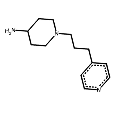 NC1CCN(CCCc2ccncc2)CC1